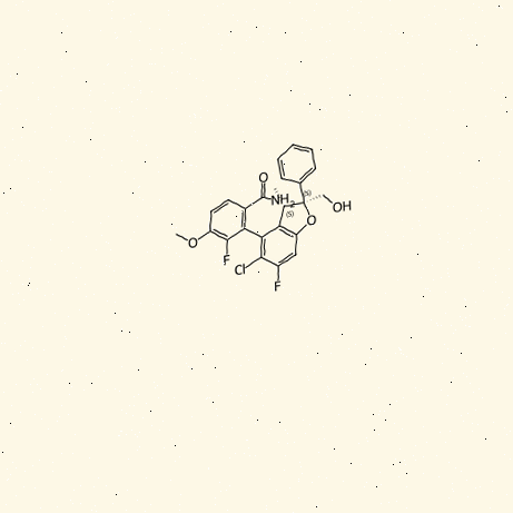 COc1ccc(C(N)=O)c(-c2c(Cl)c(F)cc3c2[C@H](C)[C@@](CO)(c2ccccc2)O3)c1F